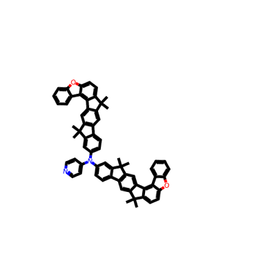 CC1(C)c2cc(N(c3ccncc3)c3ccc4c(c3)C(C)(C)c3cc5c(cc3-4)C(C)(C)c3ccc4oc6ccccc6c4c3-5)ccc2-c2cc3c(cc21)-c1c(ccc2oc4ccccc4c12)C3(C)C